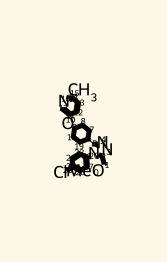 COCc1nnc([C@H]2CC[C@H](Oc3ccc(C)nc3)CC2)n1-c1ccc(Cl)cc1